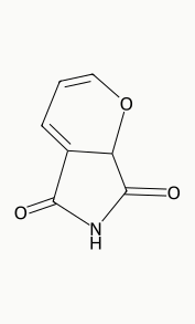 O=C1NC(=O)C2OC=CC=C12